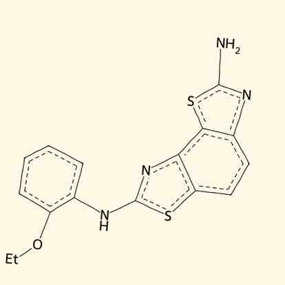 CCOc1ccccc1Nc1nc2c(ccc3nc(N)sc32)s1